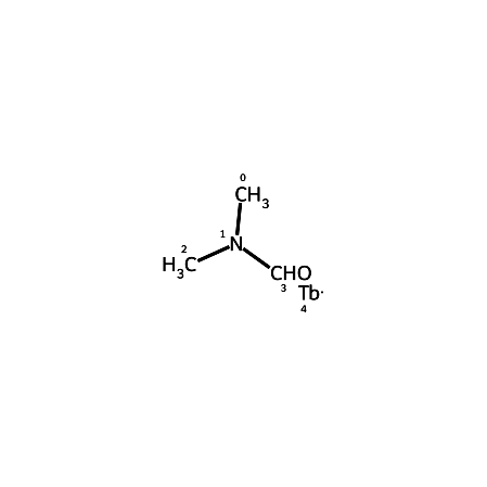 CN(C)C=O.[Tb]